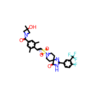 Cc1cc(C(=O)N2CC(C)(O)C2)cc(C)c1/C=C/S(=O)(=O)N1CCC2(CC1)N=C(c1ccc(F)c(C(F)(F)F)c1)NC2=O